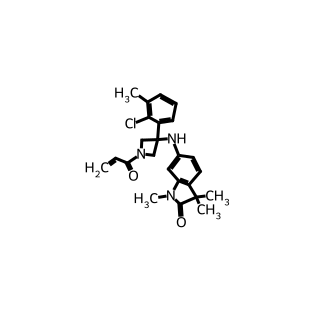 C=CC(=O)N1CC(Nc2ccc3c(c2)N(C)C(=O)C3(C)C)(c2cccc(C)c2Cl)C1